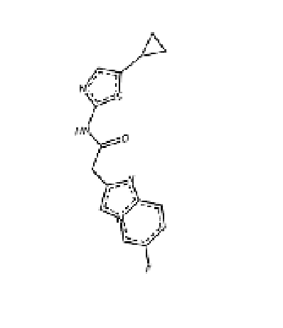 O=C(Cc1cn2cc(F)ccc2n1)Nc1ncc(C2CC2)s1